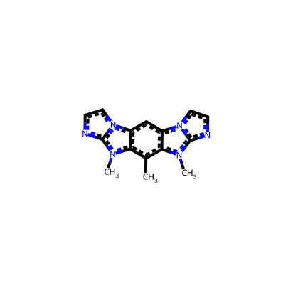 Cc1c2c(cc3c1n(C)c1nccn31)n1ccnc1n2C